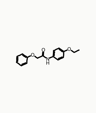 CCOc1ccc(NC(=O)COc2ccccc2)cc1